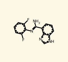 NC(=Nc1c(F)cccc1F)c1cccc2[nH]cnc12